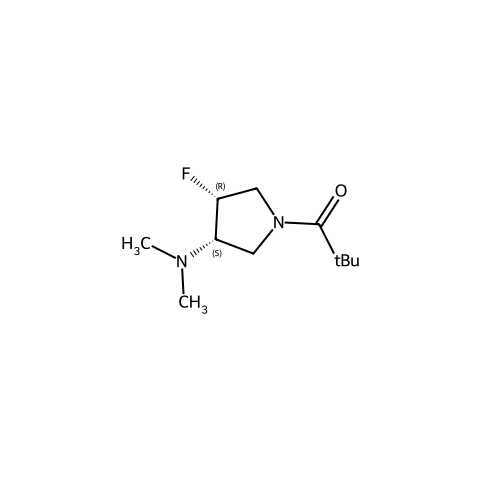 CN(C)[C@H]1CN(C(=O)C(C)(C)C)C[C@H]1F